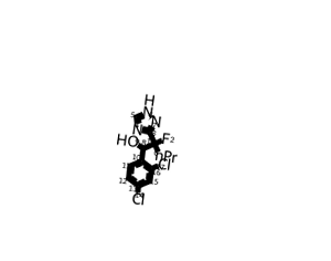 CCCC(F)(c1nc[nH]n1)C(O)c1ccc(Cl)cc1Cl